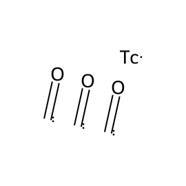 [C]=O.[C]=O.[C]=O.[Tc]